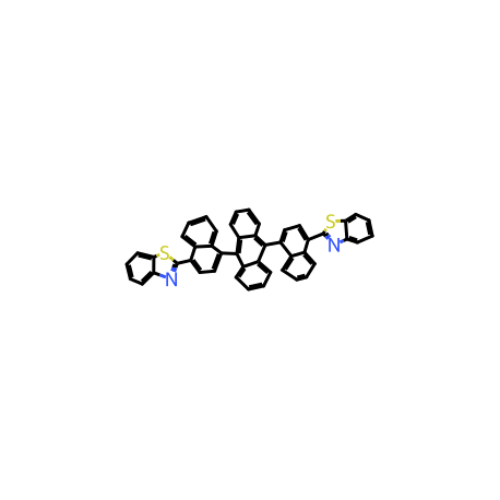 c1ccc2sc(-c3ccc(-c4c5ccccc5c(-c5ccc(-c6nc7ccccc7s6)c6ccccc56)c5ccccc45)c4ccccc34)nc2c1